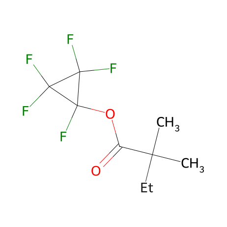 CCC(C)(C)C(=O)OC1(F)C(F)(F)C1(F)F